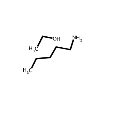 CCCCCN.CCO